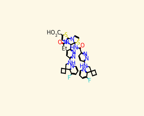 CCC(=O)N(C)C(c1ccc(NCC2(c3ncccc3F)CCC2)nn1)C1(NC(=O)c2ccc(NCC3(c4ncccc4F)CCC3)nn2)SC=CN1c1ncc(C(=O)O)s1